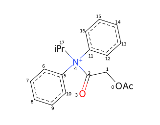 CC(=O)OCC(=O)[N+](c1ccccc1)(c1ccccc1)C(C)C